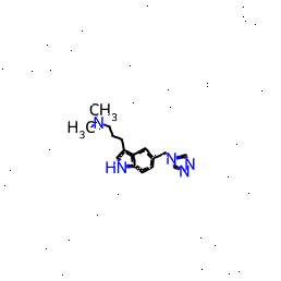 CN(C)CCCc1c[nH]c2ccc(Cn3cnnc3)cc12